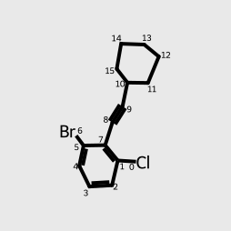 Clc1cccc(Br)c1C#CC1CCCCC1